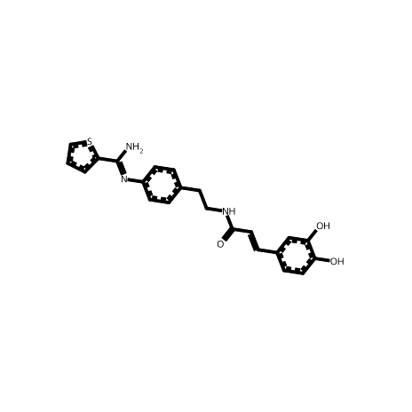 NC(=Nc1ccc(CCNC(=O)C=Cc2ccc(O)c(O)c2)cc1)c1cccs1